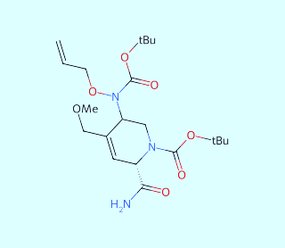 C=CCON(C(=O)OC(C)(C)C)C1CN(C(=O)OC(C)(C)C)[C@H](C(N)=O)C=C1COC